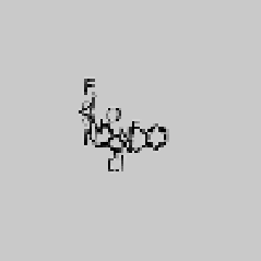 O=c1c2nn(Cc3ccccc3F)c(Cl)c2cnn1[C@@H]1C[C@H]1CF